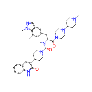 Cc1cc(CC(C(=O)N2CCN(C3CCN(C)CC3)CC2)N(C)C(=O)N2CCC(c3cc4ccccc4[nH]c3=O)CC2)cc2cnn(C)c12